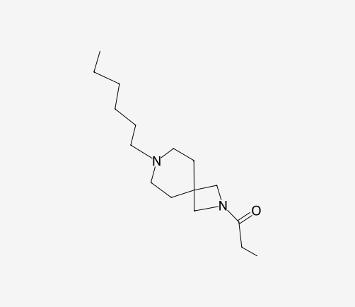 CCCCCCN1CCC2(CC1)CN(C(=O)CC)C2